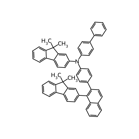 CC1(C)c2ccccc2-c2ccc(-c3c(-c4ccc(N(c5ccc(-c6ccccc6)cc5)c5ccc6c(c5)C(C)(C)c5ccccc5-6)cc4)ccc4ccccc34)cc21